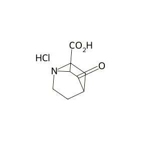 Cl.O=C(O)C1C(=O)C2CCN1CC2